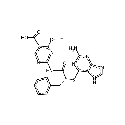 COc1nc(NC(=O)[C@@H](Cc2ccccc2)Sc2nc(N)nc3nc[nH]c23)ncc1C(=O)O